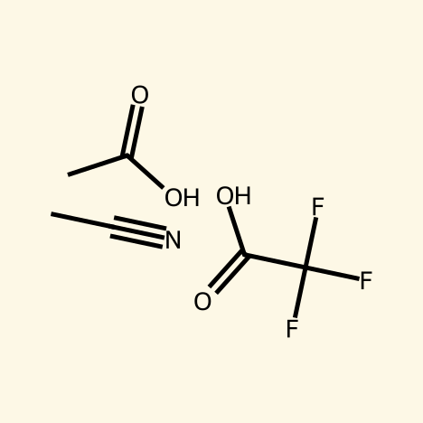 CC#N.CC(=O)O.O=C(O)C(F)(F)F